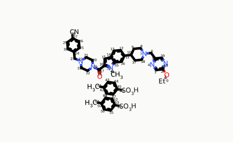 CCOc1cnc(CN2CCC(c3ccc4cc(C(=O)N5CCN(Cc6ccc(C#N)cc6)CC5)n(C)c4c3)CC2)cn1.Cc1ccc(S(=O)(=O)O)cc1.Cc1ccc(S(=O)(=O)O)cc1